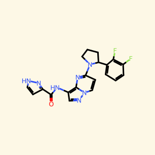 O=C(Nc1cnn2ccc(N3CCCC3c3cccc(F)c3F)nc12)c1cc[nH]n1